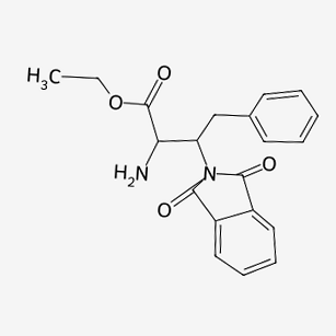 CCOC(=O)C(N)C(Cc1ccccc1)N1C(=O)c2ccccc2C1=O